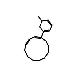 CC1C=CC=C(C2=CC=CCCCCCCCC2)C1